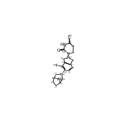 O=C1CCC(N2Cc3ccc(N4CC5CCC(C4)N5)c(F)c3C2)C(=O)N1